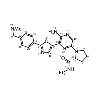 CCNC(=O)[C@H]1CCCN1c1cnc(N)c(-c2nnc(-c3ccc(CNC)cc3)o2)n1